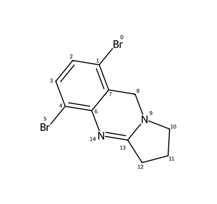 Brc1ccc(Br)c2c1CN1CCCC1=N2